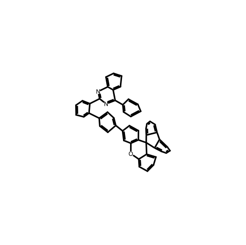 c1ccc(-c2nc(-c3ccccc3-c3ccc(-c4ccc5c(c4)Oc4ccccc4C54c5ccccc5-c5ccccc54)cc3)nc3ccccc23)cc1